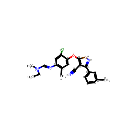 CCN(C)C=Nc1cc(Cl)c(Oc2snc(-c3cccc(C)c3)c2C#N)cc1C